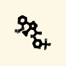 COc1ncccc1-c1nsc(C(=O)Nc2ccnc(C(F)(F)F)c2)c1C1CC1